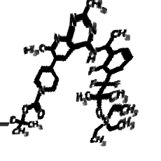 CC[Si](CC)(CC)OC(C)(C)C(F)(F)c1cccc(C(C)Nc2nc(C)nc3nc(C)c(C4=CCN(C(=O)OC(C)(C)C)CC4)cc23)c1F